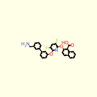 NCc1cccc(-c2cccc(Oc3nc(Oc4ccc5ccccc5c4C(=O)O)c(F)cc3F)c2)c1